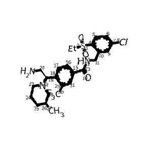 CCS(=O)(=O)c1ccc(Cl)cc1CNC(=O)c1ccc([C@H](CN)N2CCCC(C)C2)c(C(F)(F)F)c1